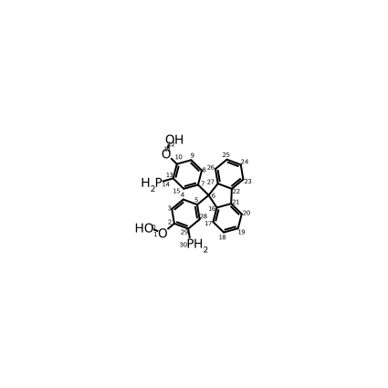 OOc1ccc(C2(c3ccc(OO)c(P)c3)c3ccccc3-c3ccccc32)cc1P